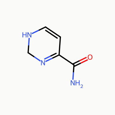 NC(=O)C1=NCNC=C1